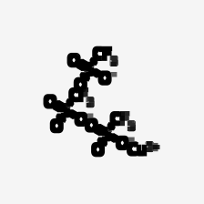 O=S(=O)([O-])C(F)(F)F.O=S(=O)([O-])C(F)(F)F.O=S(=O)([O-])C(F)(F)F.[Cu+3]